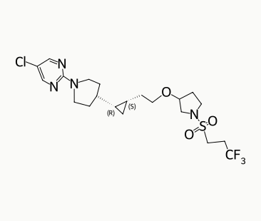 O=S(=O)(CCC(F)(F)F)N1CCC(OCC[C@@H]2C[C@@H]2C2CCN(c3ncc(Cl)cn3)CC2)C1